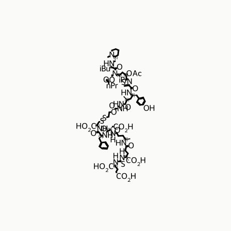 CCCC(=O)OCN(C(=O)[C@@H](NC[C@H]1CCCCN1C)C(C)CC)[C@H](C[C@@H](OC(C)=O)c1nc(C(=O)N[C@@H](Cc2ccc(O)cc2)C[C@H](C)C(=O)NNC(=O)OCCSSC[C@H](NC(=O)[C@H](Cc2ccccc2)NC(=O)[C@H](CC(=O)O)NC(=O)CC[C@@H](C)NC(=O)CC[C@@H](NC(=S)N[C@H](CCC(=O)O)C(=O)O)C(=O)O)C(=O)O)cs1)C(C)C